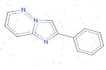 c1ccc(-c2cn3ncccc3n2)cc1